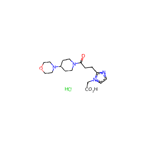 Cl.O=C(O)Cn1ccnc1CCC(=O)N1CCC(N2CCOCC2)CC1